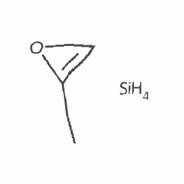 CC1=CO1.[SiH4]